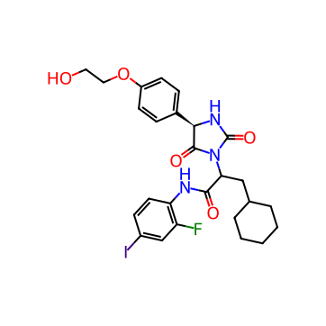 O=C(Nc1ccc(I)cc1F)C(CC1CCCCC1)N1C(=O)N[C@H](c2ccc(OCCO)cc2)C1=O